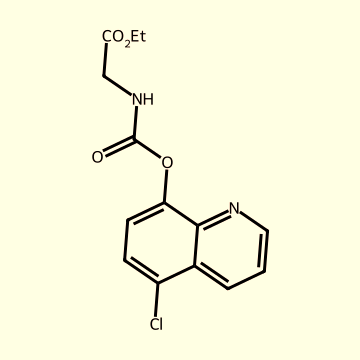 CCOC(=O)CNC(=O)Oc1ccc(Cl)c2cccnc12